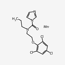 CCCN(CCOc1c(Cl)cc(Cl)cc1Cl)C(=O)n1ccnc1.[Mn]